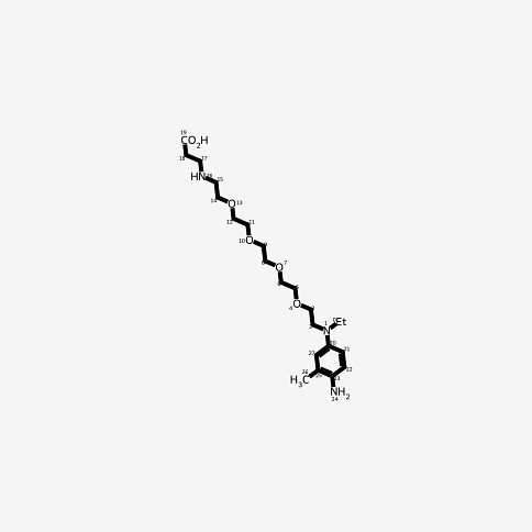 CCN(CCOCCOCCOCCOCCNCCC(=O)O)c1ccc(N)c(C)c1